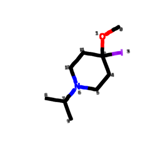 COC1(I)CCN(C(C)C)CC1